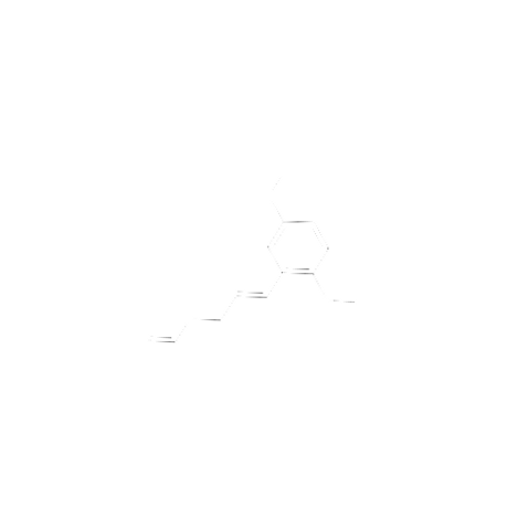 COc1ccc(OC)c(C=CCO[C]=O)c1